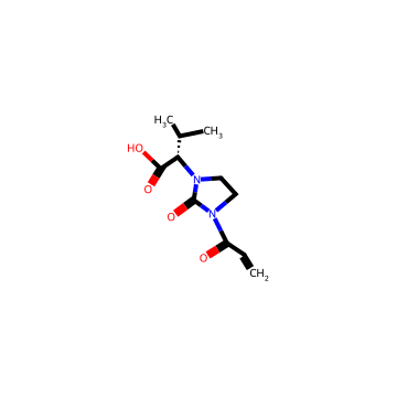 C=CC(=O)N1CCN([C@H](C(=O)O)C(C)C)C1=O